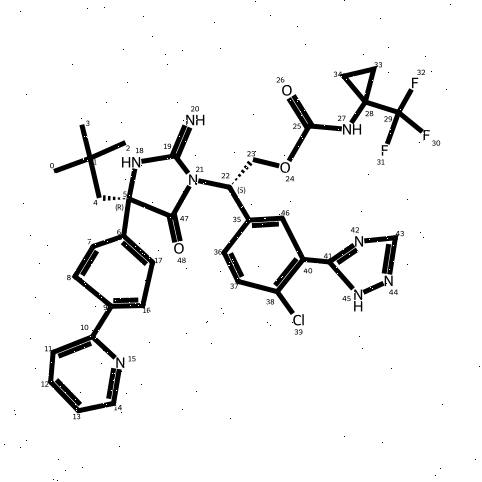 CC(C)(C)C[C@]1(c2ccc(-c3ccccn3)cc2)NC(=N)N([C@H](COC(=O)NC2(C(F)(F)F)CC2)c2ccc(Cl)c(-c3ncn[nH]3)c2)C1=O